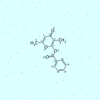 Cc1cc(=O)c(C)c(OC(=O)c2ccccc2)o1